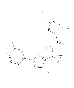 CCc1cc(-c2cc(C3(NC(=O)c4cc(C(F)(F)F)nn4C)CC3)n(C)n2)ccn1